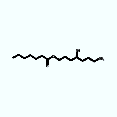 CCCCCCC(=O)OCCCC(=N)CCCN